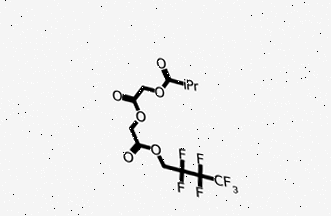 CC(C)C(=O)OCC(=O)OCC(=O)OCC(F)(F)C(F)(F)C(F)(F)F